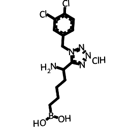 Cl.NC(CCCCB(O)O)c1nnnn1Cc1ccc(Cl)c(Cl)c1